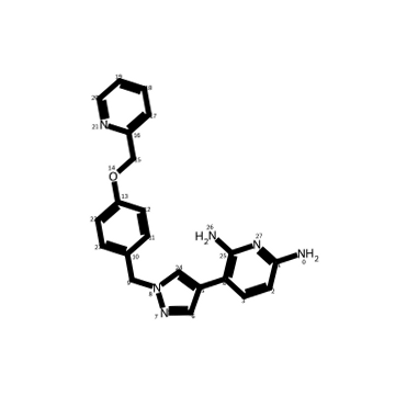 Nc1ccc(-c2cnn(Cc3ccc(OCc4ccccn4)cc3)c2)c(N)n1